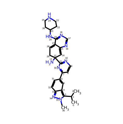 CC(C)c1c2cc(-c3ccnc(C4(N)C=c5ncnc(NC6CCNCC6)c5=CC4)n3)ccc2nn1C